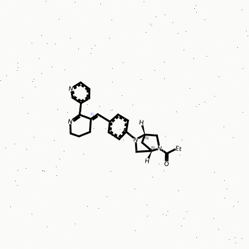 CCC(=O)N1C[C@@H]2C[C@H]1CN2c1ccc(/C=C2\CCCN=C2c2cccnc2)cc1